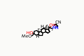 CC[C@]12CC[C@](O)(COC)C[C@H]1CCC1=C2C=C[C@@]2(C)C1=CC=C2C(C)(O)Cn1cc(C#N)cn1